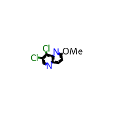 COc1ccc2ncc(Cl)c(Cl)c2n1